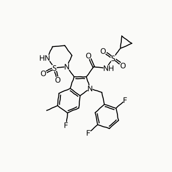 Cc1cc2c(N3CCCNS3(=O)=O)c(C(=O)NS(=O)(=O)C3CC3)n(Cc3cc(F)ccc3F)c2cc1F